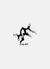 CSCCn1c(C(N)=O)ccc(C(N)=O)c1=O